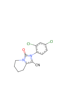 N#Cc1c2n(c(=O)n1-c1ccc(Cl)cc1Cl)CCCC2